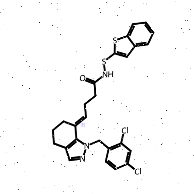 O=C(CC/C=C1\CCCc2cnn(Cc3ccc(Cl)cc3Cl)c21)NSc1cc2ccccc2s1